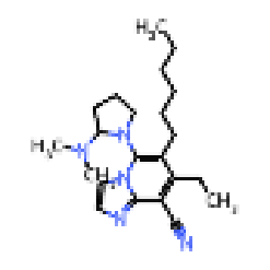 CCCCCCc1c(CC)c(C#N)c2nccn2c1N1CCCC1N(C)C